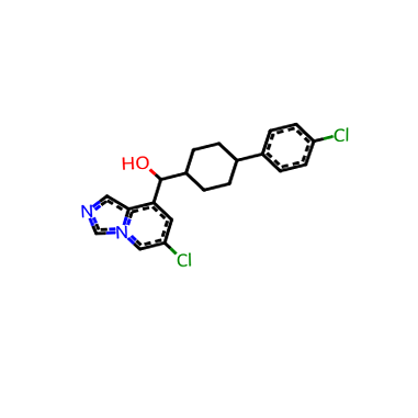 OC(c1cc(Cl)cn2cncc12)C1CCC(c2ccc(Cl)cc2)CC1